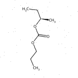 C[CH][C@@H](C)OC(=O)OCCC